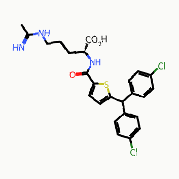 CC(=N)NCCC[C@H](NC(=O)c1ccc(C(c2ccc(Cl)cc2)c2ccc(Cl)cc2)s1)C(=O)O